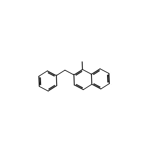 O=S(=O)(O)c1c(Cc2ccccc2)ccc2ccccc12